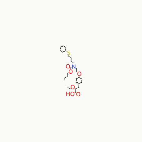 CCCCOC(=O)N(CCCCSc1ccccc1)CCOc1ccc(CC(OCC)C(=O)O)cc1